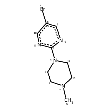 CN1CCN(c2ncc(Br)cn2)CC1